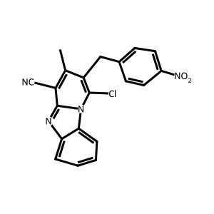 Cc1c(Cc2ccc([N+](=O)[O-])cc2)c(Cl)n2c(nc3ccccc32)c1C#N